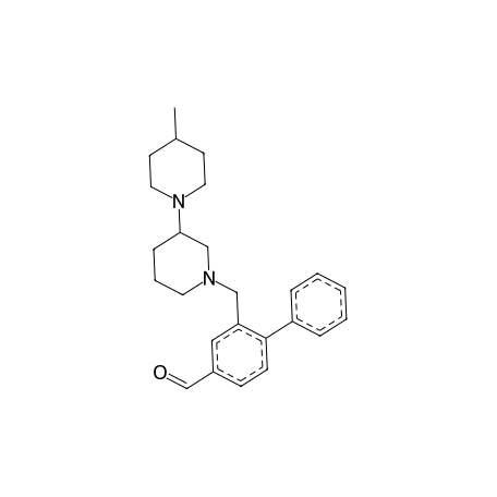 CC1CCN(C2CCCN(Cc3cc(C=O)ccc3-c3ccccc3)C2)CC1